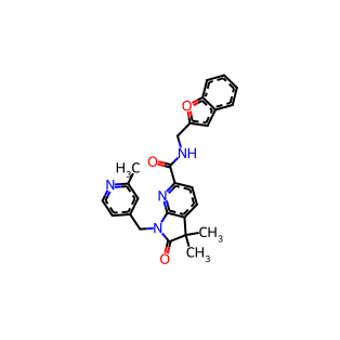 Cc1cc(CN2C(=O)C(C)(C)c3ccc(C(=O)NCc4cc5ccccc5o4)nc32)ccn1